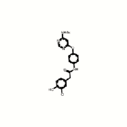 CC(=O)Nc1cc(Oc2ccc(NC(=O)Cc3ccc(O)c(Cl)c3)cc2)ncn1